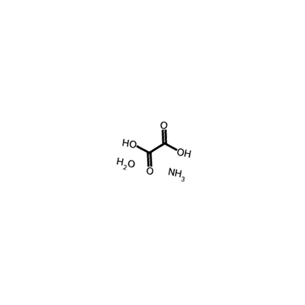 N.O.O=C(O)C(=O)O